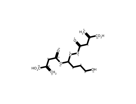 C=C(CC(=O)OOC(CCCO)OC(=O)CC(=C)C(=O)O)C(=O)O